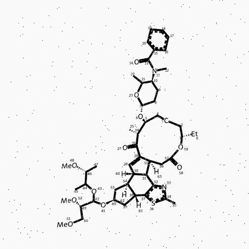 CC[C@H]1CCC[C@H](O[C@H]2CC[C@H](N(C)C(=O)c3ccccc3)C(C)O2)[C@@H](C)C(=O)C2=C[C@@H]3C(c4nc(C)sc4[C@@H]4C[C@@H](OC(OC(C)[C@@H](C)OC)[C@H](COC)OC)C[C@@H]34)[C@@H]2CC(=O)O1